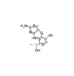 CC(C)c1cnc([C@@H](C)O)cc1Oc1cnc(N)nc1N